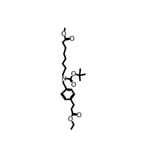 CCOC(=O)CCc1ccc(CN(CCCCCCCC(=O)OC)C(=O)OC(C)(C)C)cc1